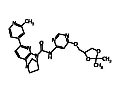 Cc1cc(-c2ccc3c(n2)N(C(=O)Nc2cc(OCC4COC(C)(C)O4)ncn2)C2CCN3C2)ccn1